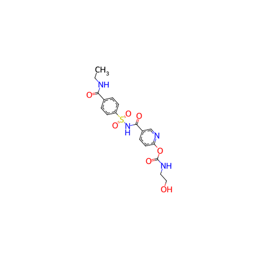 CCNC(=O)c1ccc(S(=O)(=O)NC(=O)c2ccc(OC(=O)NCCO)nc2)cc1